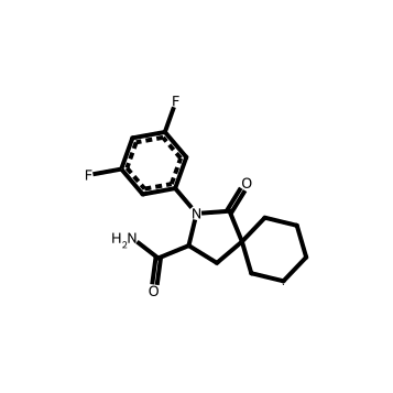 NC(=O)C1CC2(C[CH]CCC2)C(=O)N1c1cc(F)cc(F)c1